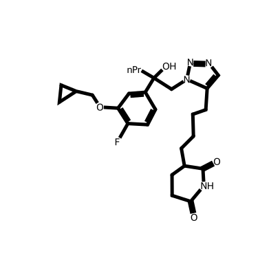 CCCC(O)(Cn1nncc1CCCCC1CCC(=O)NC1=O)c1ccc(F)c(OCC2CC2)c1